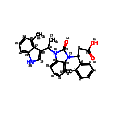 Cc1ccccc1C(CC(=O)O)n1c(=O)n(C(C)c2c[nH]c3cccc(C)c23)c2ccccc21